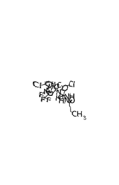 CCCCC(=O)NNC(=O)c1cc(Cl)cc(C)c1NC(=O)c1cc(C(F)(F)F)nn1-c1ncccc1Cl